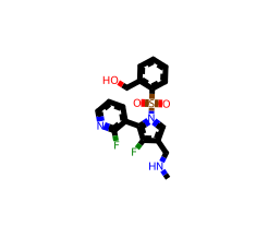 CNCc1cn(S(=O)(=O)c2ccccc2CO)c(-c2cccnc2F)c1F